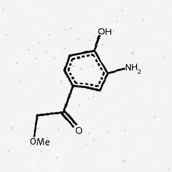 COCC(=O)c1ccc(O)c(N)c1